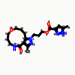 CCc1nn(CCCOC(=O)c2cc(C)[nH]n2)c2c1C(=O)NCCCOCCC2